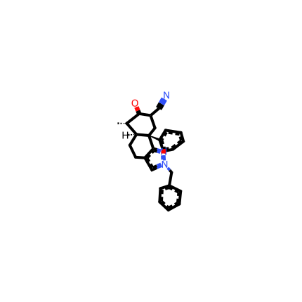 C[C@@H]1C(=O)C(C#N)C[C@]2(c3ccccc3)c3nn(Cc4ccccc4)cc3CC[C@@H]12